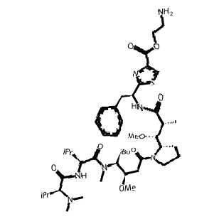 CC[C@H](C)[C@@H]([C@@H](CC(=O)N1CCC[C@H]1[C@H](OC)[C@@H](C)C(=O)N[C@@H](Cc1ccccc1)c1nc(C(=O)OCCN)cs1)OC)N(C)C(=O)[C@@H](NC(=O)[C@H](C(C)C)N(C)C)C(C)C